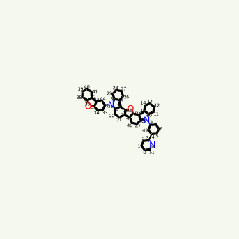 c1ccc(-c2cccc(-n3c4ccccc4c4c5oc6c(ccc7c6c6ccccc6n7-c6ccc7oc8ccccc8c7c6)c5ccc43)c2)nc1